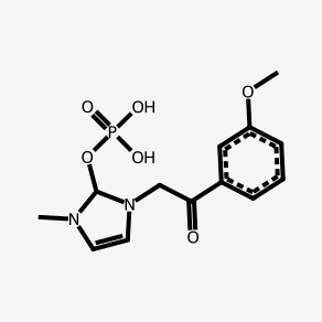 COc1cccc(C(=O)CN2C=CN(C)C2OP(=O)(O)O)c1